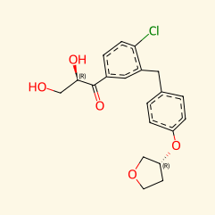 O=C(c1ccc(Cl)c(Cc2ccc(O[C@@H]3CCOC3)cc2)c1)[C@H](O)CO